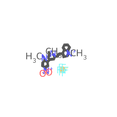 CCn1c2ccc([N+](=O)[O-])cc2c2cc(/C=C/c3cc[n+](C)c4ccccc34)nc(C)c21.F[P-](F)(F)(F)(F)F